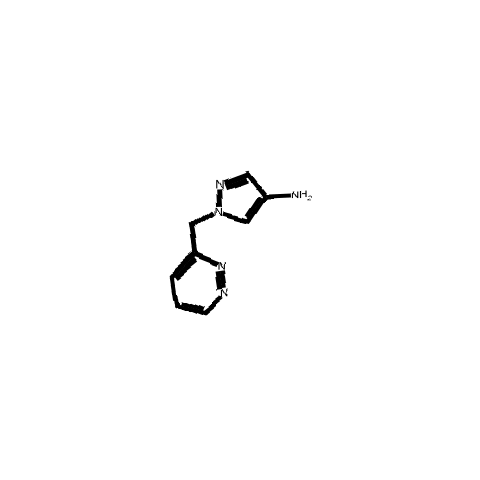 Nc1cnn(Cc2cccnn2)c1